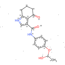 CC(O)Oc1ccc(NC(=O)c2c[nH]c3c2C(=O)CCC3)cc1